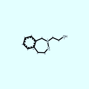 OCCN1Cc2ccccc2CCO1